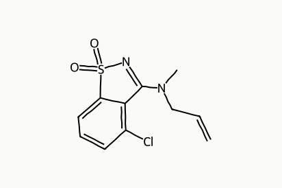 C=CCN(C)C1=NS(=O)(=O)c2cccc(Cl)c21